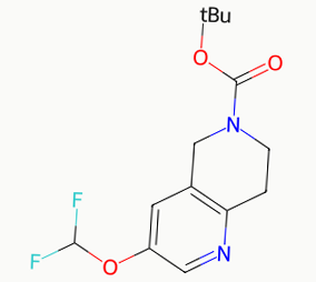 CC(C)(C)OC(=O)N1CCc2ncc(OC(F)F)cc2C1